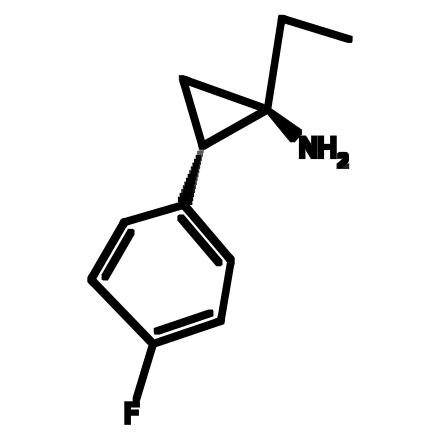 CC[C@@]1(N)C[C@H]1c1ccc(F)cc1